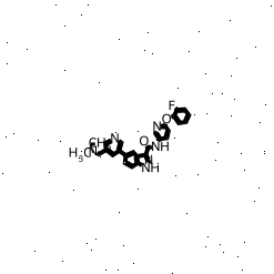 CN(C)Cc1cncc(-c2ccc3[nH]nc(C(=O)Nc4ccc(Oc5ccccc5F)nc4)c3c2)c1